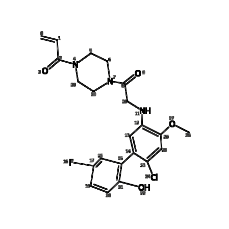 C=CC(=O)N1CCN(C(=O)CNc2cc(-c3cc(F)ccc3O)c(Cl)cc2OC)CC1